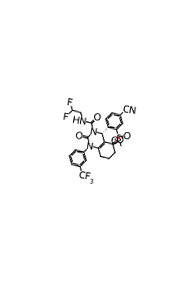 CS(=O)(=O)c1cc(C#N)ccc1[C@@H]1C2=C(CCCC2=O)N(c2cccc(C(F)(F)F)c2)C(=O)N1C(=O)NCC(F)F